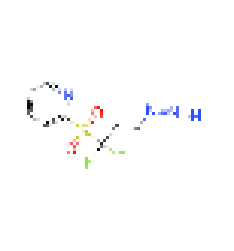 [N-]=[N+]=NCCC(F)(F)S(=O)(=O)c1ccccn1